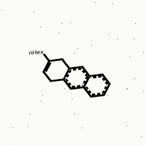 CCCCCCC1=CCc2cc3ccccc3cc2[CH]1